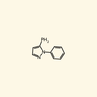 Pc1ccnn1-c1ccccc1